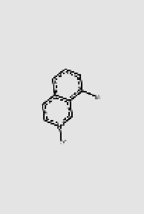 [O-][n+]1ccc2cccc(Br)c2c1